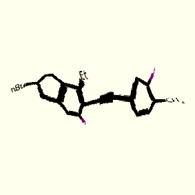 CCCCC1CCc2c(cc(I)c(C#Cc3ccc(C)c(I)c3)c2CC)C1